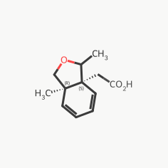 CC1OC[C@]2(C)C=CC=C[C@]12CC(=O)O